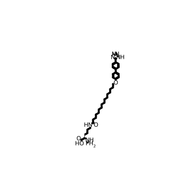 O=C(CCCCCCCCCCCCCCCOc1ccc(-c2ccc(-c3nnn[nH]3)cc2)cc1)NCCCC[C@H](NP)C(=O)O